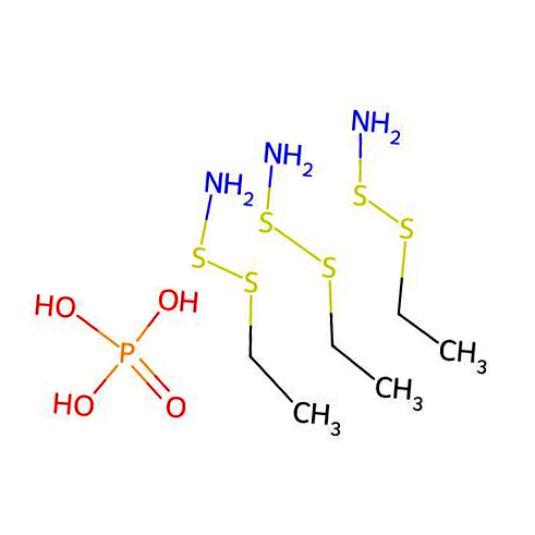 CCSSN.CCSSN.CCSSN.O=P(O)(O)O